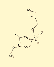 Cc1nc(S(=O)(=O)OCC2CNC2)ccc1OC(F)(F)F